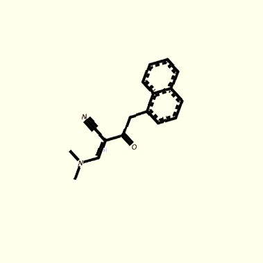 CN(C)/C=C(\C#N)C(=O)Cc1cccc2ccccc12